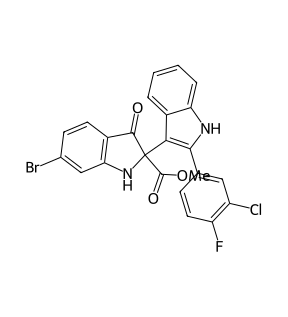 COC(=O)C1(c2c(-c3ccc(F)c(Cl)c3)[nH]c3ccccc23)Nc2cc(Br)ccc2C1=O